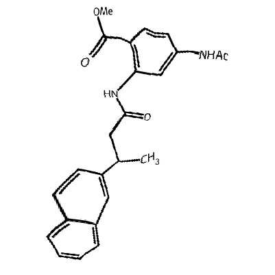 COC(=O)c1ccc(NC(C)=O)cc1NC(=O)CC(C)c1ccc2ccccc2c1